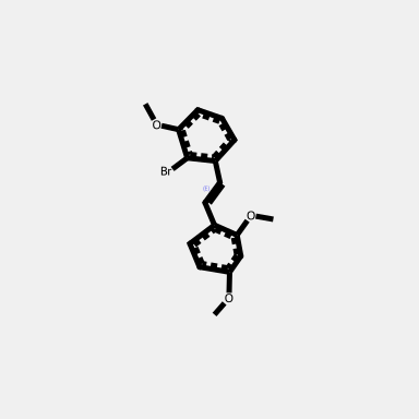 COc1ccc(/C=C/c2cccc(OC)c2Br)c(OC)c1